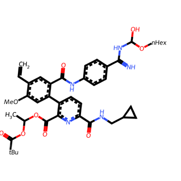 C=Cc1cc(C(=O)Nc2ccc(C(=N)NC(O)OCCCCCC)cc2)c(-c2ccc(C(=O)NCC3CC3)nc2C(=O)OC(C)OC(=O)C(C)(C)C)cc1OC